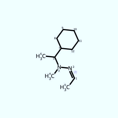 C/C=N\N(C)C(C)C1CCCCC1